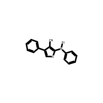 CCN(c1ccccc1)c1scc(-c2ccccc2)c1C#N